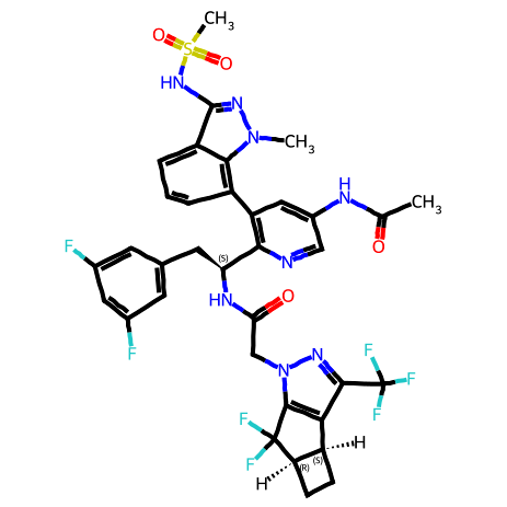 CC(=O)Nc1cnc([C@H](Cc2cc(F)cc(F)c2)NC(=O)Cn2nc(C(F)(F)F)c3c2C(F)(F)[C@@H]2CC[C@H]32)c(-c2cccc3c(NS(C)(=O)=O)nn(C)c23)c1